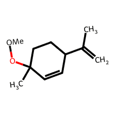 C=C(C)C1C=CC(C)(OOC)CC1